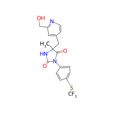 CC1(Cc2ccnc(CO)c2)NC(=O)N(c2ccc(SC(F)(F)F)cc2)C1=O